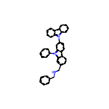 c1ccc(CNCc2ccc3c4ccc(-n5c6ccccc6c6ccccc65)cc4n(-c4ccccc4)c3c2)cc1